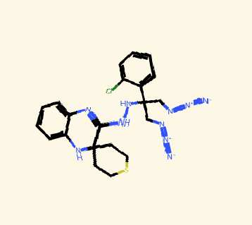 [N-]=[N+]=NCC(CN=[N+]=[N-])(NNC1=Nc2ccccc2NC12CCSCC2)c1ccccc1Cl